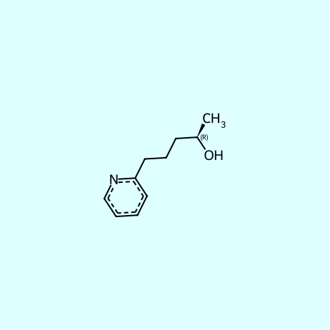 C[C@@H](O)CCCc1ccccn1